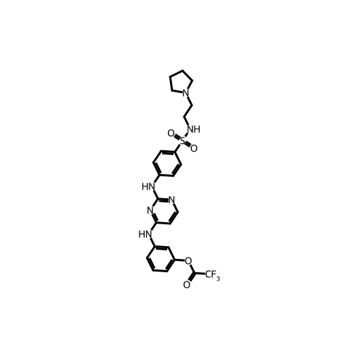 O=C(Oc1cccc(Nc2ccnc(Nc3ccc(S(=O)(=O)NCCN4CCCC4)cc3)n2)c1)C(F)(F)F